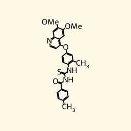 COc1cc2nccc(Oc3ccc(NC(=S)NC(=O)c4ccc(C)cc4)c(C)c3)c2cc1OC